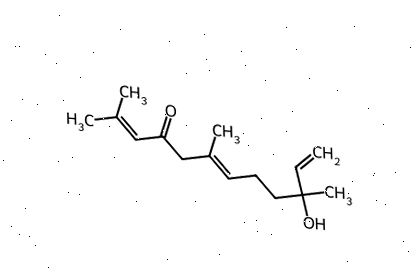 C=CC(C)(O)CC/C=C(\C)CC(=O)C=C(C)C